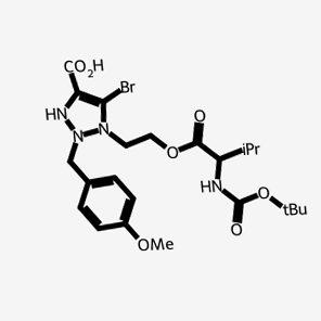 COc1ccc(CN2NC(C(=O)O)=C(Br)N2CCOC(=O)C(NC(=O)OC(C)(C)C)C(C)C)cc1